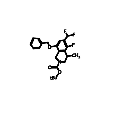 CC1CN(C(=O)OC(C)(C)C)Cc2c(OCc3ccccc3)cc(C(F)F)c(F)c21